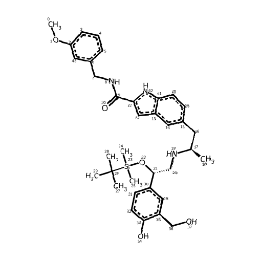 COc1cccc(CNC(=O)c2cc3cc(C[C@@H](C)NC[C@@H](O[Si](C)(C)C(C)(C)C)c4ccc(O)c(CO)c4)ccc3[nH]2)c1